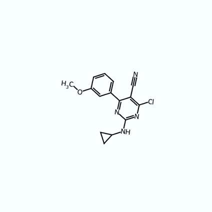 COc1cccc(-c2nc(NC3CC3)nc(Cl)c2C#N)c1